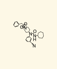 N#Cc1cccc(N(C(=O)NC2CCCCCC2)C2CCN(S(=O)(=O)Cc3ccccc3)CC2)c1